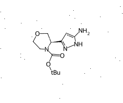 CC(C)(C)OC(=O)N1CCOC[C@H]1c1cc(N)[nH]n1